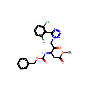 CC(C)(C)OC(=O)CC(NC(=O)OCc1ccccc1)C(=O)Cn1nnnc1-c1c(Cl)cccc1Cl